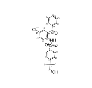 CC(C)(CO)c1ccc(S(=O)(=O)Nc2ccc(Cl)cc2C(=O)c2ccncc2)cc1